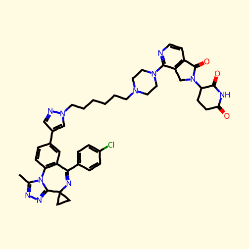 Cc1nnc2n1-c1ccc(-c3cnn(CCCCCCN4CCN(c5nccc6c5CN(C5CCC(=O)NC5=O)C6=O)CC4)c3)cc1C(c1ccc(Cl)cc1)=NC21CC1